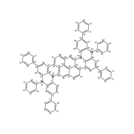 c1ccc(-c2ccc3c(c2)N(c2ccccc2)c2cc(-c4ccccc4)cc4c2B3c2cc3ccc5c6c(cc7ccc-4c2c7c36)B2c3ccc(-c4ccccc4)cc3N(c3ccccc3)c3cc(-c4ccccc4)cc-5c32)cc1